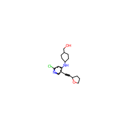 OCC1CCC(Nc2cc(Cl)ncc2C#CC2CCCO2)CC1